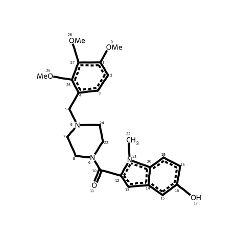 COc1ccc(CN2CCN(C(=O)c3cc4cc(O)ccc4n3C)CC2)c(OC)c1OC